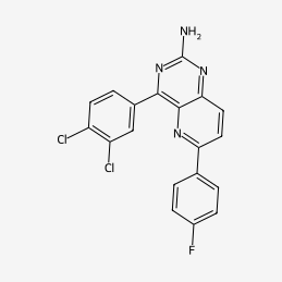 Nc1nc(-c2ccc(Cl)c(Cl)c2)c2nc(-c3ccc(F)cc3)ccc2n1